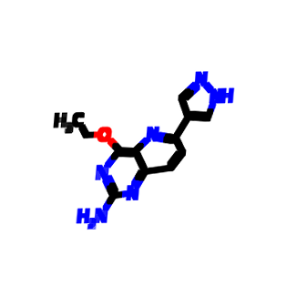 CCOc1nc(N)nc2ccc(-c3cn[nH]c3)nc12